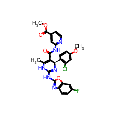 COC(=O)c1ccnc(NC(=O)C2=C(C)NC(Nc3nc4ccc(F)cc4o3)=N[C@@H]2c2ccc(OC)cc2Cl)c1